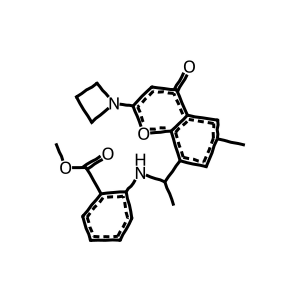 COC(=O)c1ccccc1NC(C)c1cc(C)cc2c(=O)cc(N3CCC3)oc12